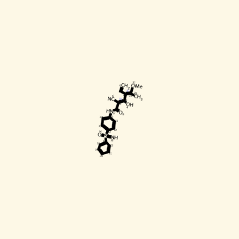 C=CC(/C(O)=C(\C#N)C(=O)Nc1ccc(S(=N)(=O)c2ccccc2)cc1)=C(/C)OC